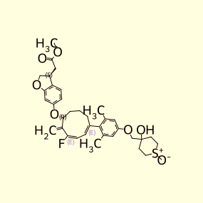 C=C1/C(F)=C\C=C(\c2c(C)cc(OCC3(O)CC[S+]([O-])CC3)cc2C)CCC[C@H]1Oc1ccc2c(c1)OC[C@H]2CC(=O)OC